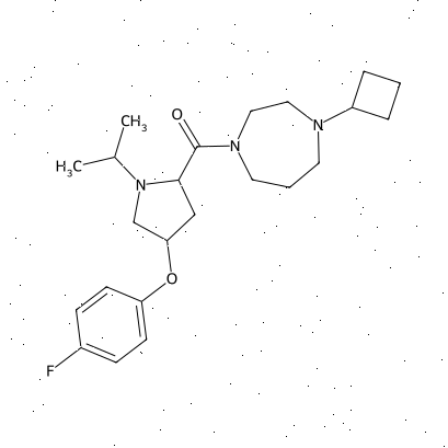 CC(C)N1CC(Oc2ccc(F)cc2)CC1C(=O)N1CCCN(C2CCC2)CC1